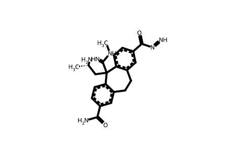 CNC(=N)C1(C[C@H](C)N)c2ccc(C(N)=O)cc2CCc2cc(C(=O)N=N)ccc21